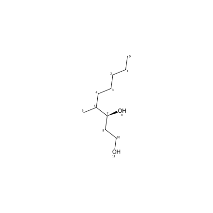 CCCCCC(C)[C@@H](O)CCO